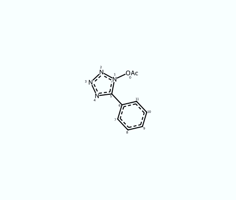 CC(=O)On1nnnc1-c1ccccc1